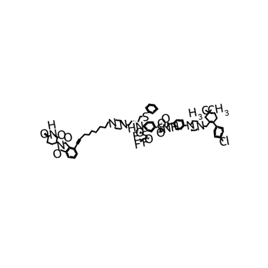 CC1(C)CCC(c2ccc(Cl)cc2)=C(CN2CCN(c3ccc(C(=O)NS(=O)(=O)c4ccc(N[C@H](CCN5CCN(CCCCCCCC#Cc6cccc7c6C(=O)N(C6CCC(=O)NC6=O)C7=O)CC5)CSc5ccccc5)c(S(=O)(=O)C(F)(F)F)c4)cc3)CC2)C1